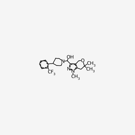 Cn1nc(C(O)N2CCC(c3ccccc3C(F)(F)F)CC2)c2c1CC(C)(C)OC2